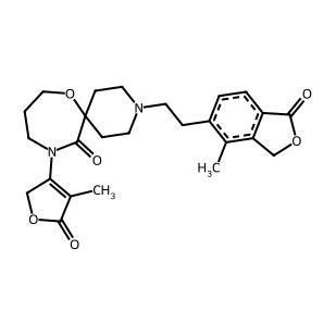 CC1=C(N2CCCOC3(CCN(CCc4ccc5c(c4C)COC5=O)CC3)C2=O)COC1=O